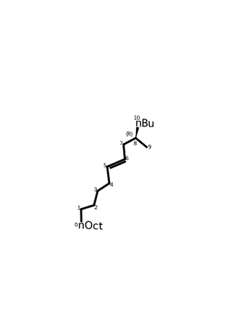 CCCCCCCCCCCCC=CC[C@H](C)CCCC